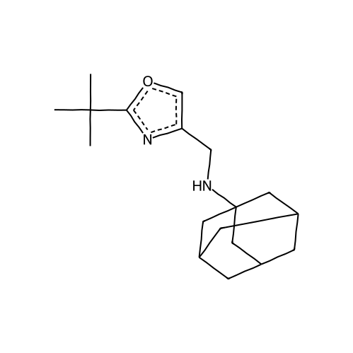 CC(C)(C)c1nc(CNC23CC4CC(CC(C4)C2)C3)co1